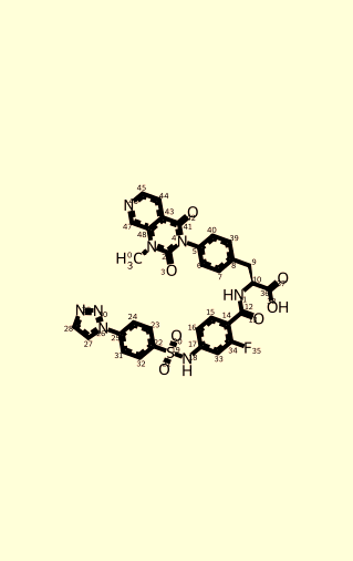 Cn1c(=O)n(-c2ccc(C[C@H](NC(=O)c3ccc(NS(=O)(=O)c4ccc(-n5ccnn5)cc4)cc3F)C(=O)O)cc2)c(=O)c2ccncc21